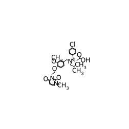 COc1cc(CN(CC(C)C)[C@@H](CC(=O)O)c2ccc(Cl)cc2)ccc1OCCn1c(=O)ccn(C)c1=O